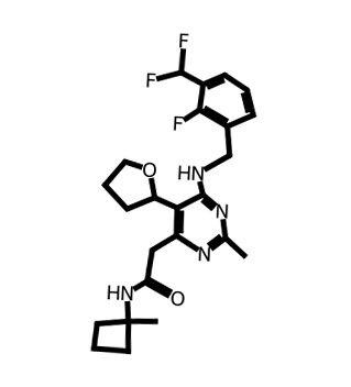 Cc1nc(CC(=O)NC2(C)CCC2)c(C2CCCO2)c(NCc2cccc(C(F)F)c2F)n1